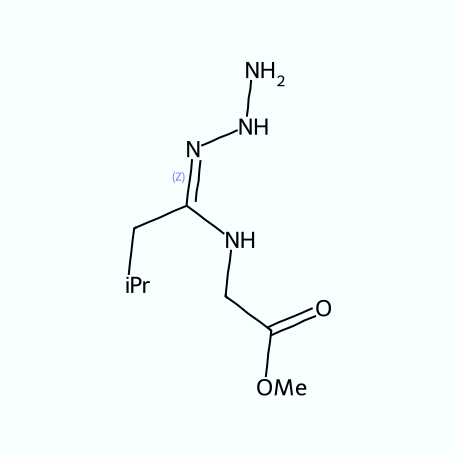 COC(=O)CN/C(CC(C)C)=N\NN